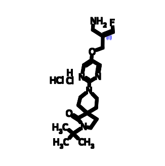 CC(C)(C)N1CCC2(CCN(c3ncc(OC/C(=C/F)CN)cn3)CC2)C1=O.Cl.Cl